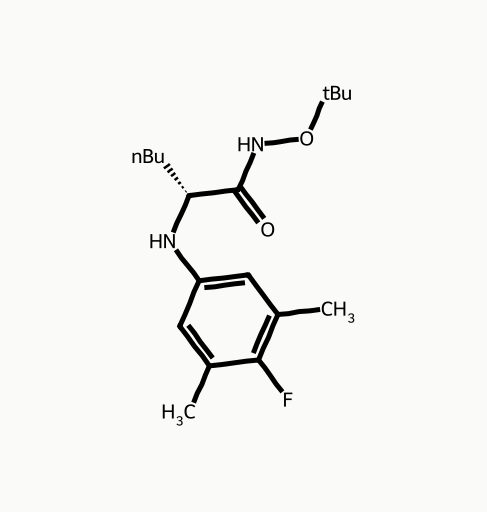 CCCC[C@@H](Nc1cc(C)c(F)c(C)c1)C(=O)NOC(C)(C)C